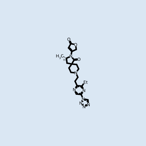 CCc1nc(-n2cnnn2)cnc1CCN1CCC2(CC1)C[C@H](C)N(C1=CC(=O)OC1)C2=O